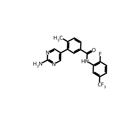 Cc1ccc(C(=O)Nc2cc(C(F)(F)F)ccc2F)cc1-c1cnc(N)nc1